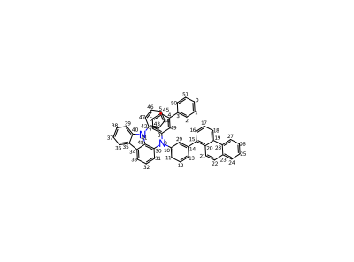 c1ccc(-c2cccc(N(c3cccc(-c4cccc5c4ccc4ccccc45)c3)c3cccc4c5ccccc5n(-c5ccccc5)c34)c2)cc1